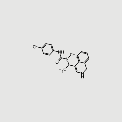 C[C@H](C1=CNCc2ccccc21)N(C)C(=O)Nc1ccc(Cl)cc1